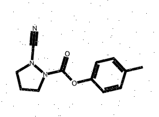 Cc1ccc(OC(=O)N2CCCN2C#N)cc1